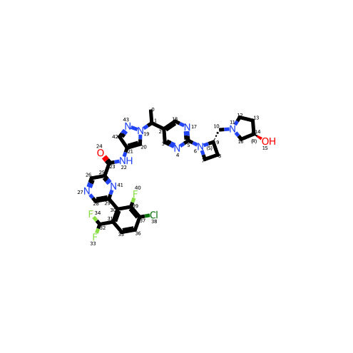 CC(c1cnc(N2CC[C@H]2CN2CC[C@@H](O)C2)nc1)n1cc(NC(=O)c2cncc(-c3c(C(F)F)ccc(Cl)c3F)n2)cn1